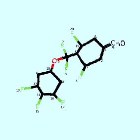 O=CC1CC(F)C(C(F)(F)OC2CC(F)C(F)C(F)C2)C(F)C1